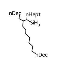 CCCCCCCCCCCCCCCCCC(CCCCCCCCCCC)C([SiH3])CCCCCCC